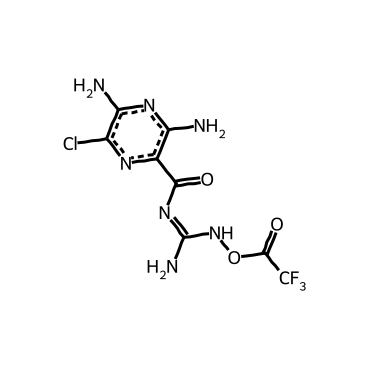 NC(=NC(=O)c1nc(Cl)c(N)nc1N)NOC(=O)C(F)(F)F